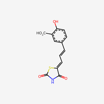 O=C1NC(=O)C(=CC=Cc2ccc(O)c(C(=O)O)c2)S1